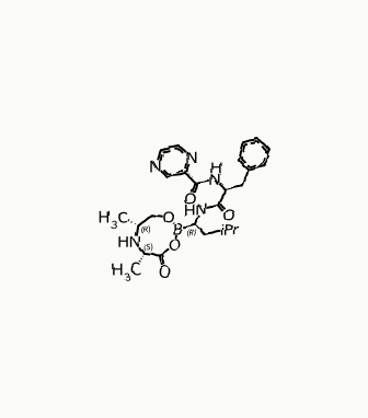 CC(C)C[C@H](NC(=O)C(Cc1ccccc1)NC(=O)c1cnccn1)B1OC[C@@H](C)N[C@@H](C)C(=O)O1